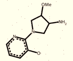 COC1CN(c2ncccc2[O])CC1N